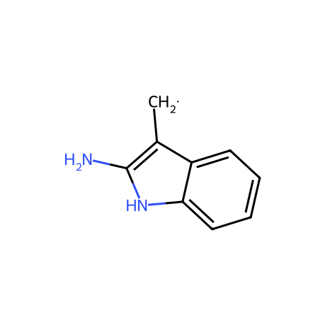 [CH2]c1c(N)[nH]c2ccccc12